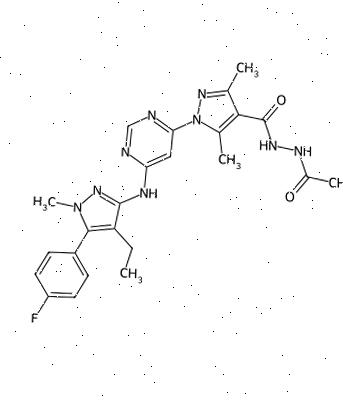 CCc1c(Nc2cc(-n3nc(C)c(C(=O)NNC(C)=O)c3C)ncn2)nn(C)c1-c1ccc(F)cc1